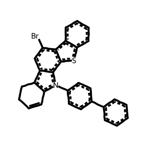 Brc1cc2c3c(n(-c4ccc(-c5ccccc5)cc4)c2c2sc4ccccc4c12)C=CCC3